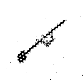 CCCCCCCCCCCCCCCC(=O)OCC(OCOP(=O)(O)OCCN(C)CC)C(=O)CCCCCCCCCc1ccc2ccc3cccc4ccc1c2c34